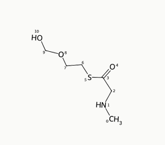 CNCC(=O)SCCOCO